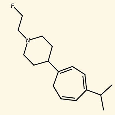 CC(C)C1=CC=C(C2CCN(CCF)CC2)CC=C1